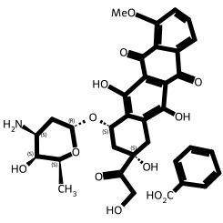 COc1cccc2c1C(=O)c1c(O)c3c(c(O)c1C2=O)C[C@@](O)(C(=O)CO)C[C@@H]3O[C@H]1C[C@H](N)[C@H](O)[C@H](C)O1.O=C(O)c1ccccc1